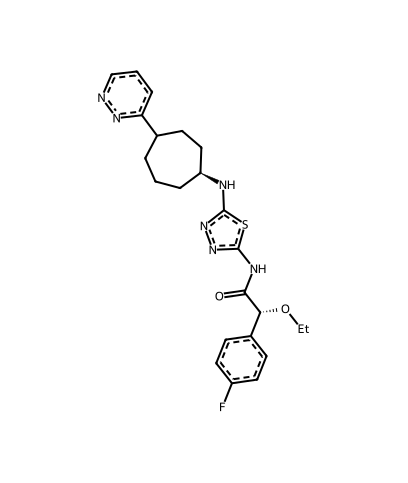 CCO[C@@H](C(=O)Nc1nnc(N[C@H]2CCCC(c3cccnn3)CC2)s1)c1ccc(F)cc1